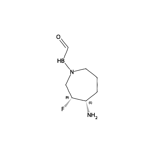 N[C@H]1CCCN(BC=O)C[C@H]1F